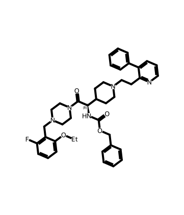 CCOc1cccc(F)c1CN1CCN(C(=O)[C@H](NC(=O)OCc2ccccc2)C2CCN(CCc3ncccc3-c3ccccc3)CC2)CC1